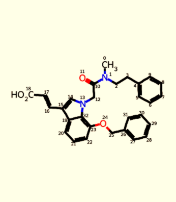 CN(CCc1ccccc1)C(=O)Cn1cc(C=CC(=O)O)c2cccc(OCc3ccccc3)c21